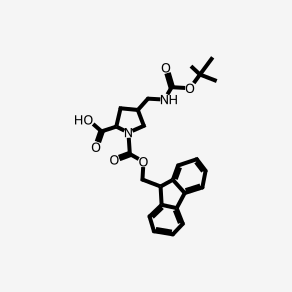 CC(C)(C)OC(=O)NCC1CC(C(=O)O)N(C(=O)OCC2c3ccccc3-c3ccccc32)C1